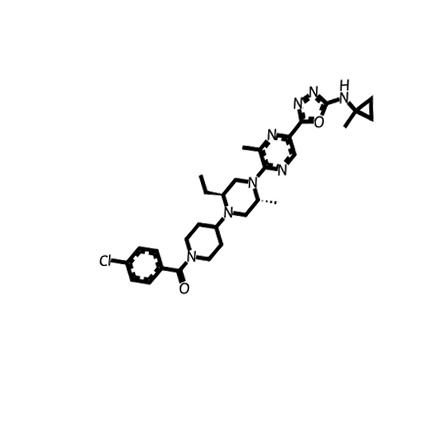 CC[C@H]1CN(c2ncc(-c3nnc(NC4(C)CC4)o3)nc2C)[C@H](C)CN1C1CCN(C(=O)c2ccc(Cl)cc2)CC1